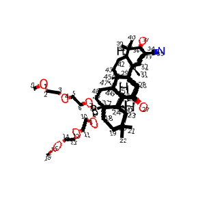 COCCOCCOB(OCCOCCOC)[C@]12CCC(C)(C)C[C@H]1[C@H]1C(=O)C=C3[C@@]4(C)C=C(C#N)C(=O)C(C)(C)[C@@H]4CC[C@@]3(C)[C@]1(C)CC2